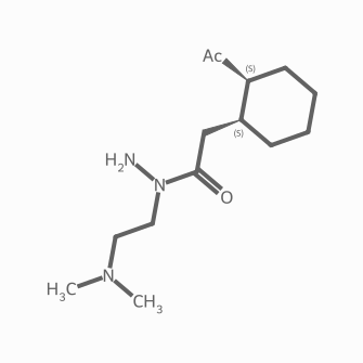 CC(=O)[C@H]1CCCC[C@H]1CC(=O)N(N)CCN(C)C